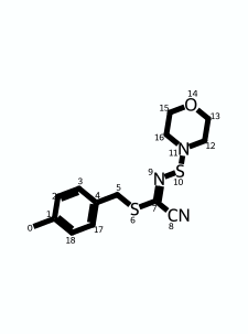 Cc1ccc(CSC(C#N)=NSN2CCOCC2)cc1